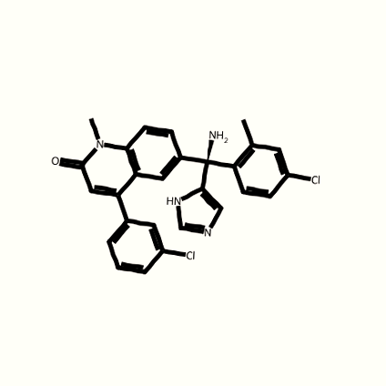 Cc1cc(Cl)ccc1[C@@](N)(c1ccc2c(c1)c(-c1cccc(Cl)c1)cc(=O)n2C)c1cnc[nH]1